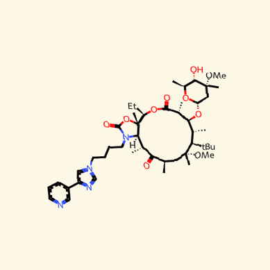 CC[C@H]1OC(=O)[C@H](C)[C@@H](O[C@H]2C[C@@](C)(OC)[C@@H](O)[C@H](C)O2)[C@H](C)[C@@H](C(C)(C)C)[C@](C)(OC)C[C@@H](C)C(=O)[C@H](C)[C@H]2N(CCCCn3cnc(-c4cccnc4)c3)C(=O)O[C@]12C